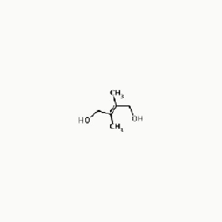 CC(CO)=C(C)CO